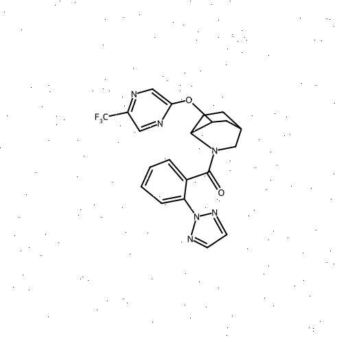 O=C(c1ccccc1-n1nccn1)N1CC2CCC1C(Oc1cnc(C(F)(F)F)cn1)C2